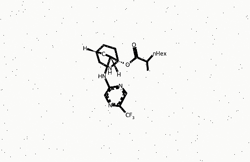 [CH2]C(CCCCCC)C(=O)O[C@]12CC[C@@H](CN1)C[C@H]2Nc1cnc(C(F)(F)F)cn1